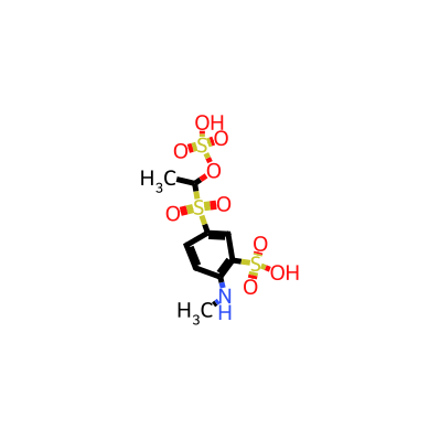 CNc1ccc(S(=O)(=O)C(C)OS(=O)(=O)O)cc1S(=O)(=O)O